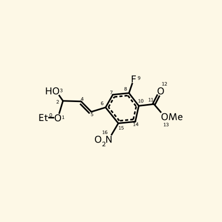 CCOC(O)/C=C/c1cc(F)c(C(=O)OC)cc1[N+](=O)[O-]